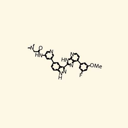 COc1cc(F)cc(-c2ccnc3[nH]c(-c4n[nH]c5ccc(-c6cncc(NC(=O)CN(C)C)c6)cc45)nc23)c1